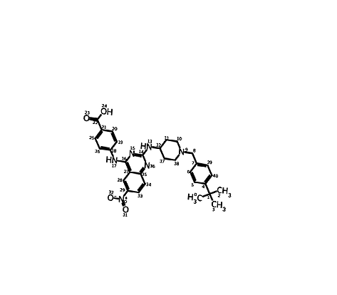 CC(C)(C)c1ccc(CN2CCC(Nc3nc(Nc4ccc(C(=O)O)cc4)c4cc([N+](=O)[O-])ccc4n3)CC2)cc1